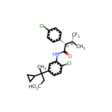 C[C@H]([C@H](C(=O)Nc1cc(C(C)(CC(=O)O)C2CC2)ccc1Cl)c1ccc(Cl)cc1)C(F)(F)F